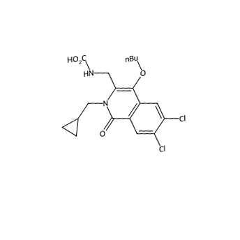 CCCCOc1c(CNC(=O)O)n(CC2CC2)c(=O)c2cc(Cl)c(Cl)cc12